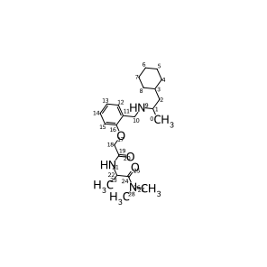 CC(CC1CCCCC1)NCc1ccccc1OCC(=O)NC(C)C(=O)N(C)C